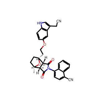 C[C@]12CC[C@](CCOc3ccc4[nH]cc(CC#N)c4c3)(O1)[C@@H]1C(=O)N(c3ccc(C#N)c4ccccc34)C(=O)[C@@H]12